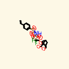 C=Cc1ccc(S(=O)(=O)NS(=O)(=O)C(F)(F)C(=O)OC2C3CC4C(=O)OC2C4C3)cc1